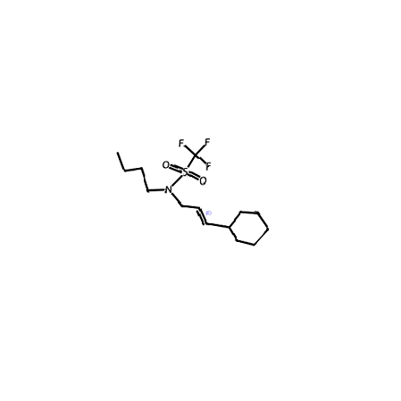 CCCCN(C/C=C/C1CCCCC1)S(=O)(=O)C(F)(F)F